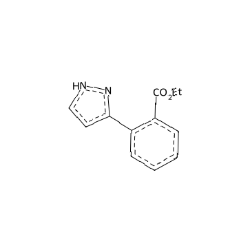 CCOC(=O)c1ccccc1-c1cc[nH]n1